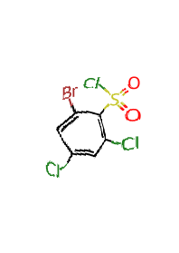 O=S(=O)(Cl)c1c(Cl)cc(Cl)cc1Br